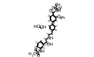 CC(C)Oc1cc(-c2ccc(CCNC[C@H](O)c3cccc(NS(C)(=O)=O)c3)cc2)ccc1C(=O)NS(C)(=O)=O.Cl.Cl